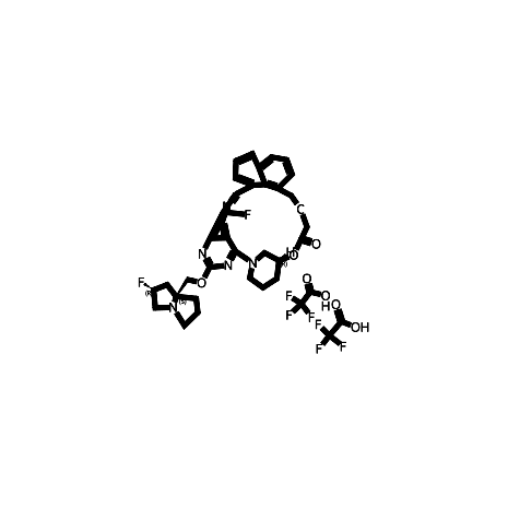 O=C(O)C(F)(F)F.O=C(O)C(F)(F)F.O=C1CCCc2cccc3cccc(c23)-c2ncc3c(nc(OC[C@@]45CCCN4C[C@H](F)C5)nc3c2F)N2CCC[C@H](C2)O1